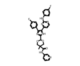 CC1(C(=O)Nc2cccnc2)COC(c2nc(-c3ccc(F)cc3)c(-c3ccnc(Nc4ccc(F)cc4)n3)[nH]2)OC1